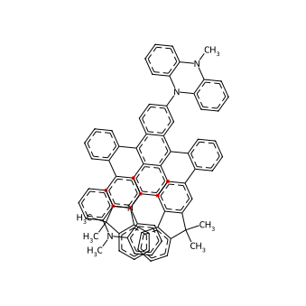 CN1c2ccccc2N(c2ccc3c(-c4ccccc4-c4ccc5c(c4)C(C)(C)c4ccccc4-5)c4cc(N5c6ccccc6N(C)c6ccccc65)ccc4c(-c4ccccc4-c4ccc5c(c4)C(C)(C)c4ccccc4-5)c3c2)c2ccccc21